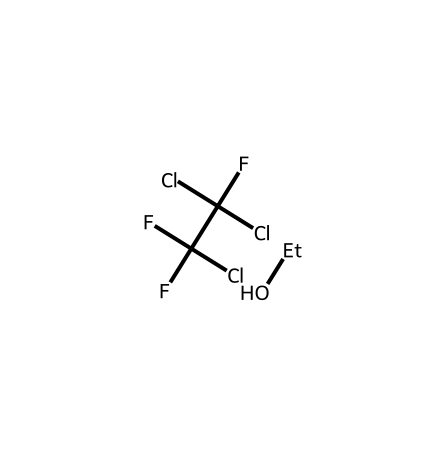 CCO.FC(F)(Cl)C(F)(Cl)Cl